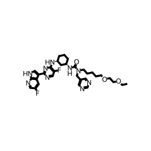 CCOCCOCCCCCN(Cc1cncnc1)C(=O)N[C@H]1CCC[C@@H](Nc2nc(-c3c[nH]c4ncc(F)cc34)ncc2F)C1